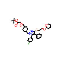 CC(C)(C)OC(=O)COCC1CCC(Cn2nc(SCCOC3CCCCO3)c(-c3ccccc3)c2-c2ccc(F)cc2)CC1